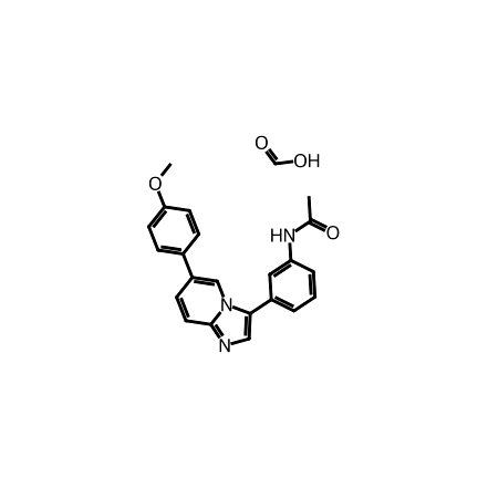 COc1ccc(-c2ccc3ncc(-c4cccc(NC(C)=O)c4)n3c2)cc1.O=CO